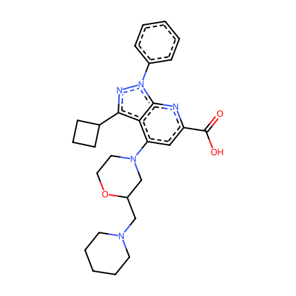 O=C(O)c1cc(N2CCOC(CN3CCCCC3)C2)c2c(C3CCC3)nn(-c3ccccc3)c2n1